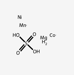 O=S(=O)(O)O.[Co].[MgH2].[Mn].[Ni]